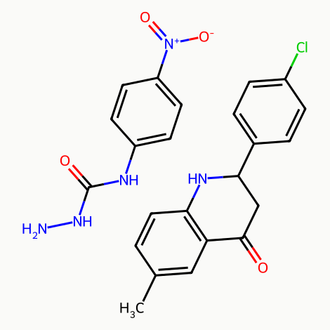 Cc1ccc2c(c1)C(=O)CC(c1ccc(Cl)cc1)N2.NNC(=O)Nc1ccc([N+](=O)[O-])cc1